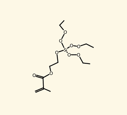 C=C(C)C(=O)OCCO[Si](OOCC)(OOCC)OOCC